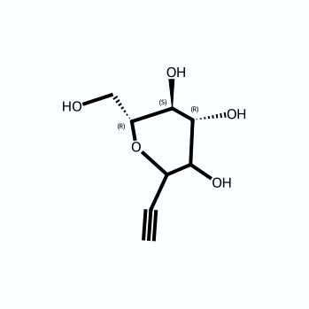 C#CC1O[C@H](CO)[C@@H](O)[C@H](O)C1O